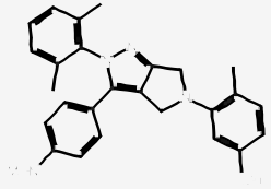 CNc1ccc(-c2c3c(nn2-c2c(C)cccc2C)CN(c2cc(C(C)(C)C)ccc2C)C3)cc1